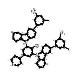 Cc1cc(-c2ccc3c(c2)c2ccccc2n3-c2cc(-c3ccncc3)cc(-n3c4ccccc4c4cc(-c5cc(C)cc(C(F)(F)F)c5)ccc43)c2C#N)cc(C(F)(F)F)c1